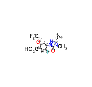 Cn1c(C2CC2)nn(-c2cc(OCC(F)(F)F)c(C(=O)O)cc2F)c1=O